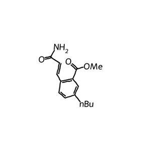 CCCCc1ccc(C=CC(N)=O)c(C(=O)OC)c1